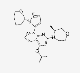 CC(C)Oc1cc(N2CCOC[C@@H]2C)nc2c(-c3ccnn3C3CCCCO3)nccc12